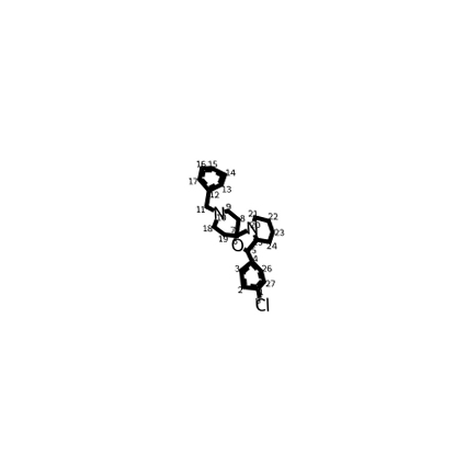 Clc1ccc(C2OC3(CCN(Cc4ccccc4)CC3)N3CCCCC23)cc1